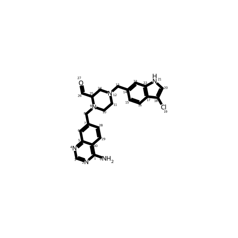 Nc1ncnc2cc(CN3CCN(Cc4ccc5c(Cl)c[nH]c5c4)CC3C=O)ccc12